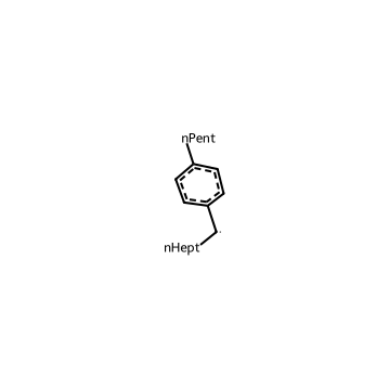 CCCCCCC[CH]c1ccc(CCCCC)cc1